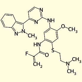 C=C(F)C(=O)Nc1cc(Nc2nccc(-c3c4ccccc4nn3C)n2)c(OC)cc1SCCN(C)C